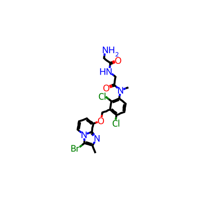 Cc1nc2c(OCc3c(Cl)ccc(N(C)C(=O)CNC(=O)CN)c3Cl)cccn2c1Br